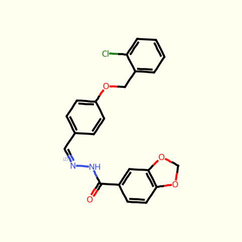 O=C(N/N=C\c1ccc(OCc2ccccc2Cl)cc1)c1ccc2c(c1)OCO2